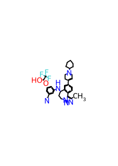 Cc1nnn2c1-c1ccc(C3=CCN(C4CCCCC4)CC3)cc1C(Nc1cccc(C#N)c1)CC2.O=C(O)C(F)(F)F